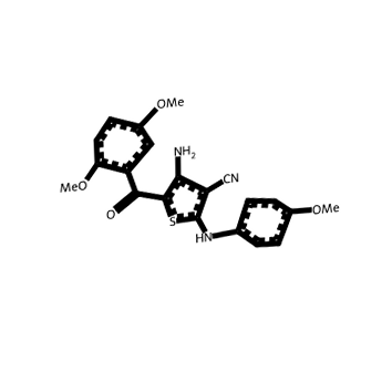 COc1ccc(Nc2sc(C(=O)c3cc(OC)ccc3OC)c(N)c2C#N)cc1